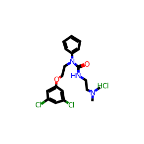 CN(C)CCNC(=O)N(CCOc1cc(Cl)cc(Cl)c1)c1ccccc1.Cl